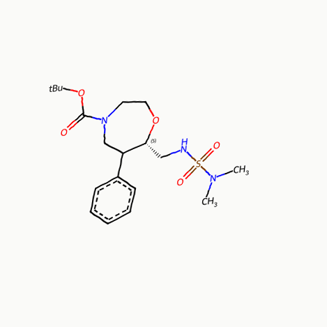 CN(C)S(=O)(=O)NC[C@H]1OCCN(C(=O)OC(C)(C)C)CC1c1ccccc1